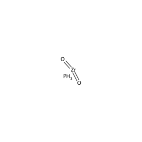 P.[O]=[Zr]=[O]